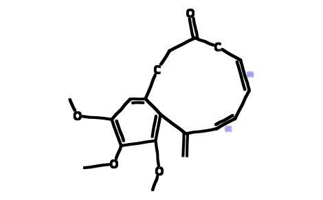 C=C1/C=C\C=C/CC(=O)CCc2cc(OC)c(OC)c(OC)c21